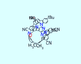 CC(C)(C)c1ccc2c(c1)c1cc(C(C)(C)C)ccc1n2-c1nc(-n2c3ccc(C#N)cc3c3cc(C#N)ccc32)c2c(c1-n1c3ccc(C#N)cc3c3cc(C#N)ccc31)-c1ccccc1-c1nc3ccc(cc3o1)C(C)(C)c1ccc3c(c1)c1cc(C(C)(C)C)ccc1n3-2